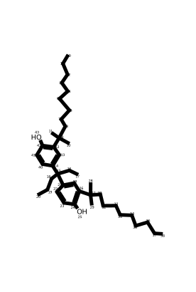 CCCCCCCCCC(C)(C)c1cc(C(CC)(CCC)c2ccc(O)c(C(C)(C)CCCCCCCCC)c2)ccc1O